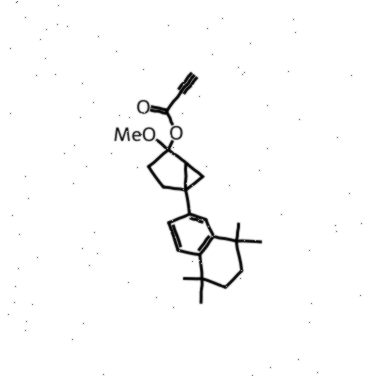 C#CC(=O)OC1(OC)CCC2(c3ccc4c(c3)C(C)(C)CCC4(C)C)CC12